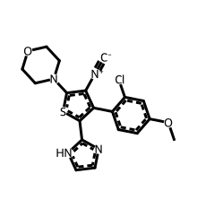 [C-]#[N+]c1c(N2CCOCC2)sc(-c2ncc[nH]2)c1-c1ccc(OC)cc1Cl